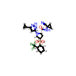 N#CC1(NC(=O)[C@@H]2C[C@@H](S(=O)(=O)c3ccccc3C(F)(F)F)CN2c2cc(C3CC3)n[nH]2)CC1